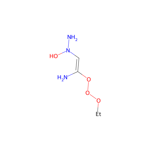 CCOOO/C(N)=C/N(N)O